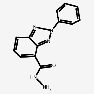 NNC(=O)c1cccc2nn(-c3ccccc3)nc12